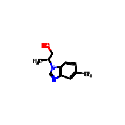 C[C@@H](CO)n1cnc2cc(C(F)(F)F)ccc21